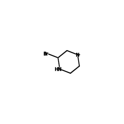 BrC1C[N]CCN1